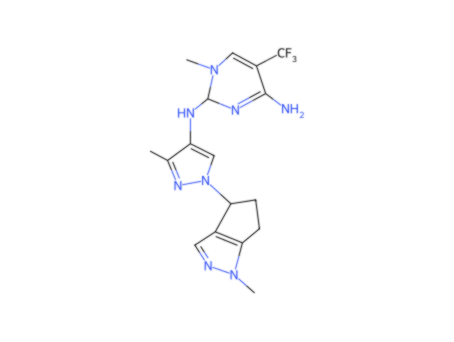 Cc1nn(C2CCc3c2cnn3C)cc1NC1N=C(N)C(C(F)(F)F)=CN1C